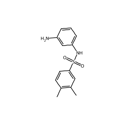 Cc1ccc(S(=O)(=O)Nc2cccc(N)c2)cc1C